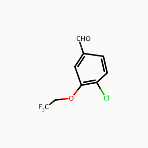 O=Cc1ccc(Cl)c(OCC(F)(F)F)c1